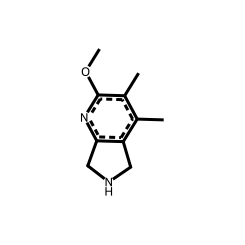 COc1nc2c(c(C)c1C)CNC2